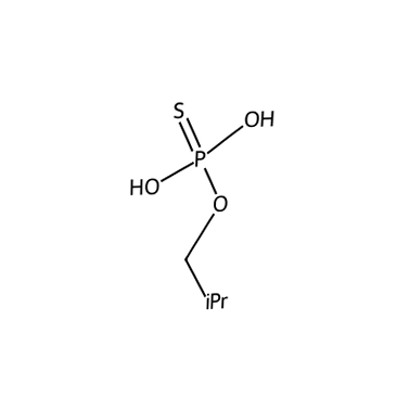 CC(C)COP(O)(O)=S